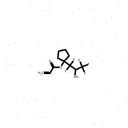 C=CC(=O)OC1(C(F)(F)C(O)C(F)(F)F)CCCC1